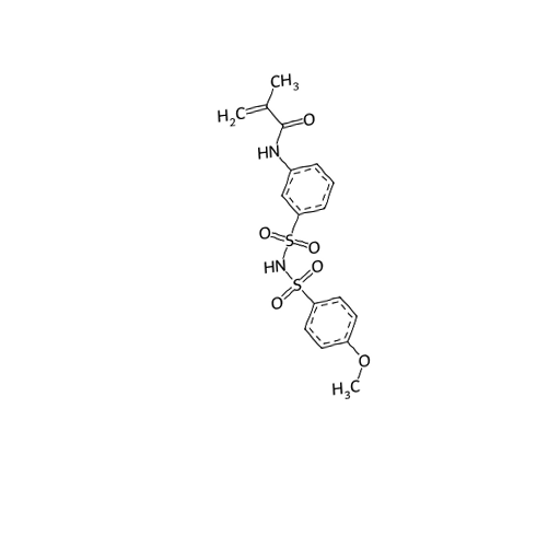 C=C(C)C(=O)Nc1cccc(S(=O)(=O)NS(=O)(=O)c2ccc(OC)cc2)c1